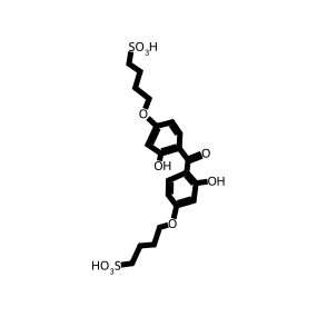 O=C(c1ccc(OCCCCS(=O)(=O)O)cc1O)c1ccc(OCCCCS(=O)(=O)O)cc1O